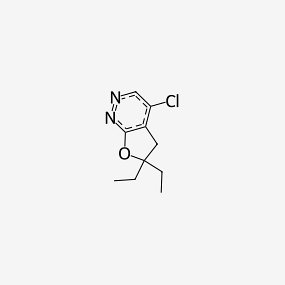 CCC1(CC)Cc2c(Cl)cnnc2O1